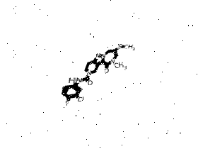 CSC1CN(C)C(=O)c2c3c(nn2C1)CCN(C(=O)Nc1ccc(F)c(Cl)c1)C3